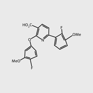 COc1cc(Oc2nc(-c3cccc(OC)c3F)ccc2C(=O)O)ccc1F